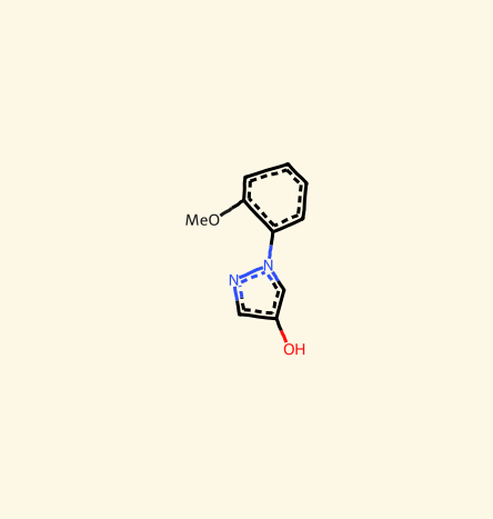 COc1ccccc1-n1cc(O)cn1